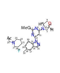 COc1nc(N2C[C@H]3C[C@@H]2CO3)cc(-n2ncc3cc(C)c([C@H]4CCN(CC(C)=O)C[C@H]4F)cc32)n1